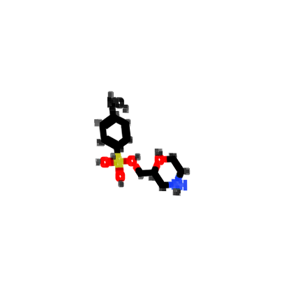 O=[N+]([O-])c1ccc(S(=O)(=O)OCC2CNCCO2)cc1